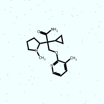 Cc1cccnc1OCC(C(N)=O)(C1CC1)C1CCCN1C